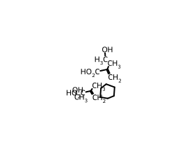 C1CCCCC1.C=C(C)C(=O)O.C=C(C)C(=O)O.CO.CO